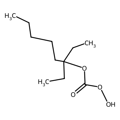 CCCCCC(CC)(CC)OC(=O)OO